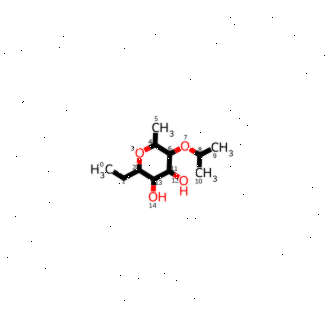 CCC1OC(C)C(OC(C)C)C(O)C1O